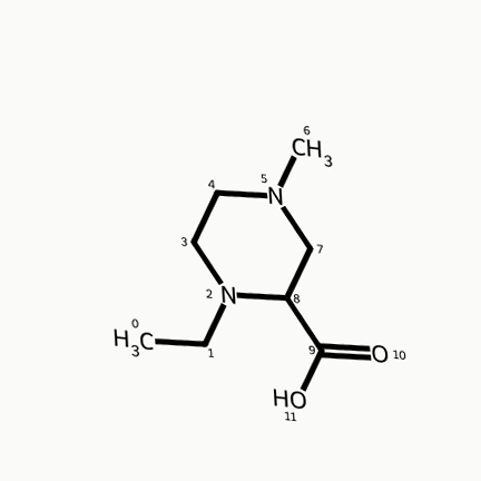 CCN1CCN(C)CC1C(=O)O